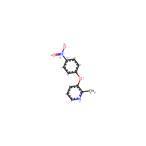 Cc1ncccc1Oc1ccc([N+](=O)[O-])cc1